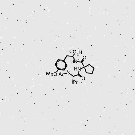 COc1ccc(C[C@H](NC(=O)C2(NC(=O)[C@@H](SC(C)=O)C(C)C)CCCC2)C(=O)O)cc1